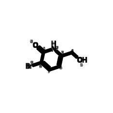 O=c1[nH]c(CO)ccc1Br